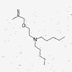 C=C(C)COCCN(CCCCC)CCCCC